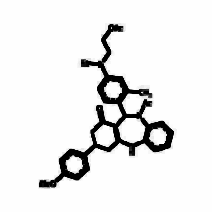 CCN(CCOC(C)=O)c1ccc(C2C3=C(CC(c4ccc(OC)cc4)CC3=O)Nc3ccccc3N2C(C)=O)c(C)c1